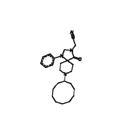 N#CCN1CN(c2ccccc2)C2(CCN(C3CCCCCCCCC3)CC2)C1=O